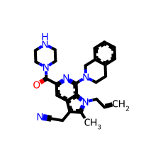 C=CCn1c(C)c(CC#N)c2cc(C(=O)N3CCNCC3)nc(N3CCc4ccccc4C3)c21